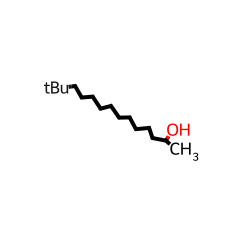 CC(O)CCCCCCCCCCC(C)(C)C